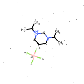 CC(C)N1CCC[NH+](C(C)C)C1.F[B-](F)(F)F